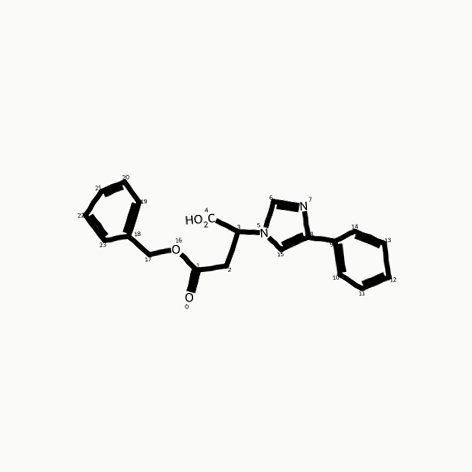 O=C(CC(C(=O)O)n1cnc(-c2ccccc2)c1)OCc1ccccc1